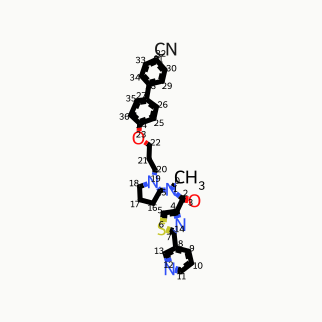 CN(C(=O)c1csc(-c2cccnc2)n1)C1CCCN1CCCOc1ccc(-c2ccc(C#N)cc2)cc1